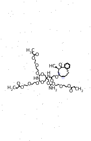 C#CC1/C=C(OCC(=O)NC2(COC(N)OCCOCCOC(=O)C=C)COC(OCCOCCOC(=O)C=C)NC(OCCOCCOC(=O)C=C)OC2)\C=C/CSc2ccccc2C1=O